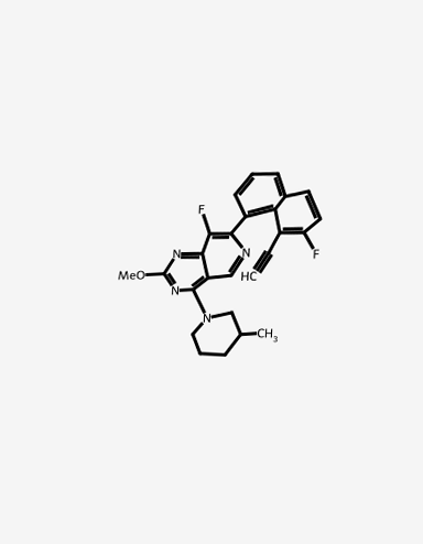 C#Cc1c(F)ccc2cccc(-c3ncc4c(N5CCCC(C)C5)nc(OC)nc4c3F)c12